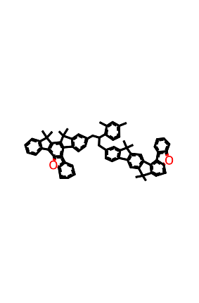 Cc1ccc(C(Cc2ccc3c(c2)C(C)(C)c2cc4c(cc2-3)C(C)(C)c2ccc3oc5ccccc5c3c2-4)Cc2ccc3c(c2)C(C)(C)c2c4c(c5oc6ccccc6c5c2-3)-c2ccccc2C4(C)C)c(C)c1